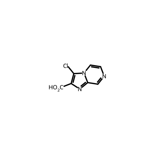 O=C(O)c1nc2cnccn2c1Cl